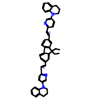 CCC1(CC)c2cc(/C=C/c3ccc(N4CCCc5ccccc54)cn3)ccc2-c2ccc(/C=C/c3ccc(N4CCCc5ccccc54)cn3)cc21